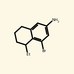 CCC1CCCc2cc(N)cc(Br)c21